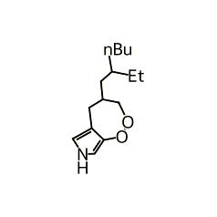 CCCCC(CC)CC1COOc2c[nH]cc2C1